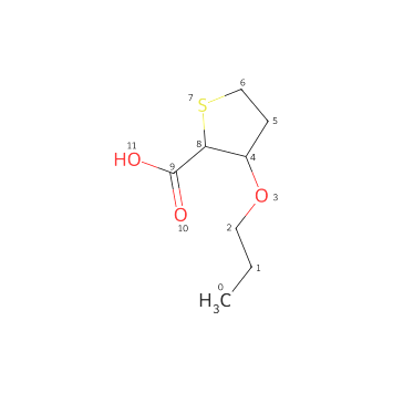 CCCOC1CCSC1C(=O)O